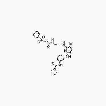 O=C(CCS(=O)(=O)c1ccccc1)NCCCNc1nc(Nc2cccc(NC(=O)N3CCCC3)c2)ncc1Br